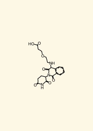 O=C(O)CCOCCNC1C(=O)N(C2CCC(=O)NC2=O)C(=O)c2ccccc21